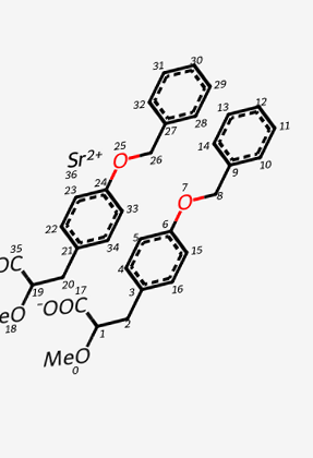 COC(Cc1ccc(OCc2ccccc2)cc1)C(=O)[O-].COC(Cc1ccc(OCc2ccccc2)cc1)C(=O)[O-].[Sr+2]